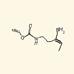 B/C(=C/C)CCNC(=O)OC(C)(C)C